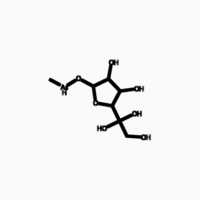 C[AsH]OC1OC(C(O)(O)CO)C(O)C1O